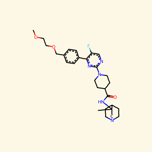 COCCOCc1ccc(-c2nc(N3CCC(C(=O)NC4(C)CN5CCC4CC5)CC3)ncc2F)cc1